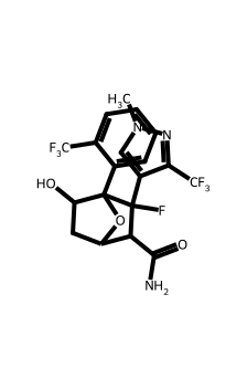 Cn1cc(C2(F)C(C(N)=O)C3CC(O)C2(c2ccccc2C(F)(F)F)O3)c(C(F)(F)F)n1